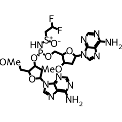 COCC1OC(n2cnc3c(N)ncnc32)CC1OP(N[S+]([O-])CC(F)F)OCC1OC(n2cnc3c(N)ncnc32)CC1OC